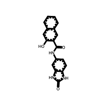 O=C(Nc1ccc2[nH]c(=O)[nH]c2c1)c1cc2ccccc2cc1O